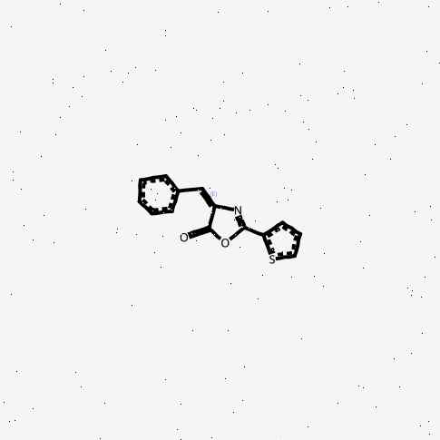 O=C1OC(c2cccs2)=N/C1=C/c1ccccc1